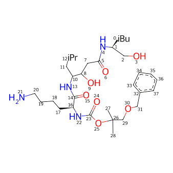 CCC(C)[C@@H](CO)NC(=O)CC(O)C(CC(C)C)NC(=O)[C@H](CCCCN)NC(=O)OC(C)(C)COCc1ccccc1